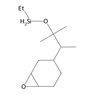 CC[SiH2]OC(C)(C)C(C)C1CCC2OC2C1